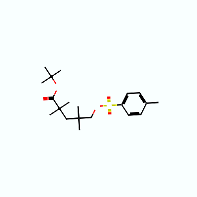 Cc1ccc(S(=O)(=O)OCC(C)(C)CC(C)(C)C(=O)OC(C)(C)C)cc1